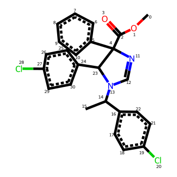 COC(=O)C1(c2ccccc2)N=CN(C(C)c2ccc(Cl)cc2)C1c1ccc(Cl)cc1